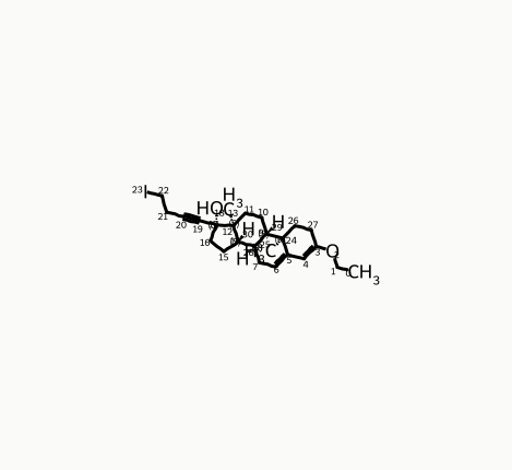 CCOC1=CC2=CC[C@@H]3[C@H](CC[C@@]4(C)[C@H]3CC[C@@]4(O)C#CCCI)[C@@]2(C)CC1